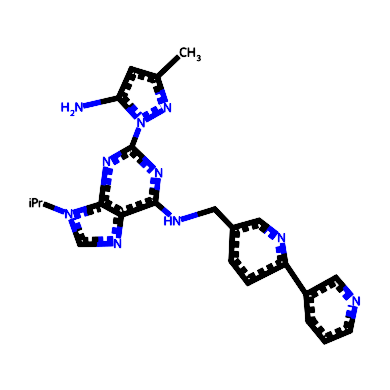 Cc1cc(N)n(-c2nc(NCc3ccc(-c4cccnc4)nc3)c3ncn(C(C)C)c3n2)n1